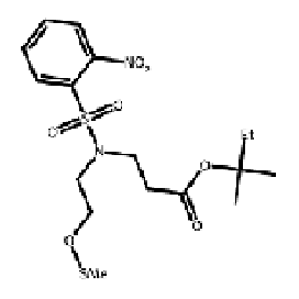 CCC(C)(C)OC(=O)CCN(CCOSC)S(=O)(=O)c1ccccc1[N+](=O)[O-]